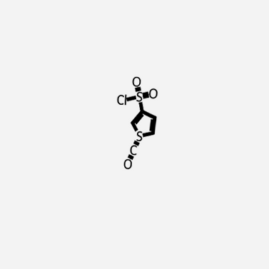 O=C=S1C=CC(S(=O)(=O)Cl)=C1